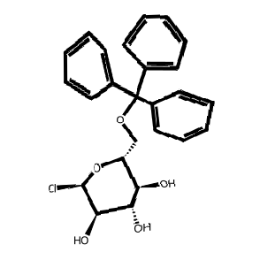 O[C@@H]1[C@@H](O)[C@@H](Cl)O[C@H](COC(c2ccccc2)(c2ccccc2)c2ccccc2)[C@H]1O